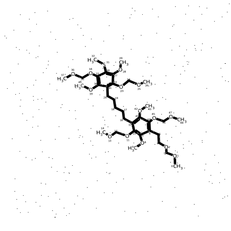 COCOCCc1c(OC)c(OCOC)c(CCCCCc2c(OCOC)c(OC)c(SC)c(OCOC)c2OC)c(OC)c1OCOC